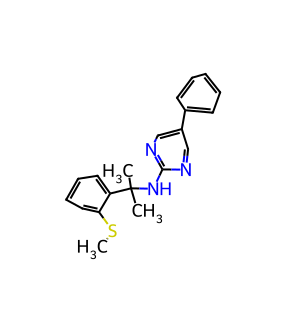 CSc1ccccc1C(C)(C)Nc1ncc(-c2ccccc2)cn1